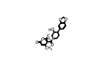 Cc1cc(=O)oc(C)c1C(=O)N1CCC(c2ccc3c(c2)OCO3)C(O)C1